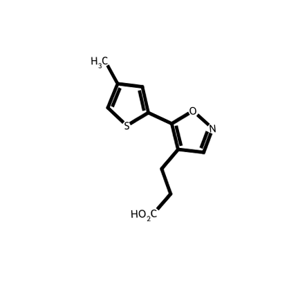 Cc1csc(-c2oncc2CCC(=O)O)c1